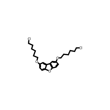 ClCCCCCCOc1ccc2oc3ccc(OCCCCCCCl)cc3c2c1